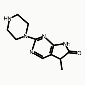 CC1C(=O)Nc2nc(N3CCNCC3)ncc21